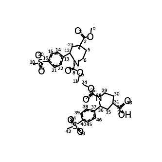 COC(=O)C1CCN(C(=O)OC)C(c2ccc(S(C)(=O)=O)cc2)C1.COC(=O)N1CCC(C(=O)O)CC1c1ccc(S(C)(=O)=O)cc1